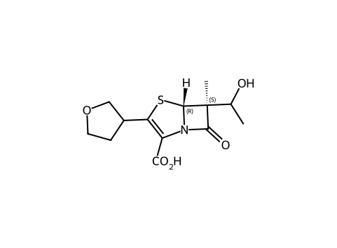 CC(O)[C@@]1(C)C(=O)N2C(C(=O)O)=C(C3CCOC3)S[C@@H]21